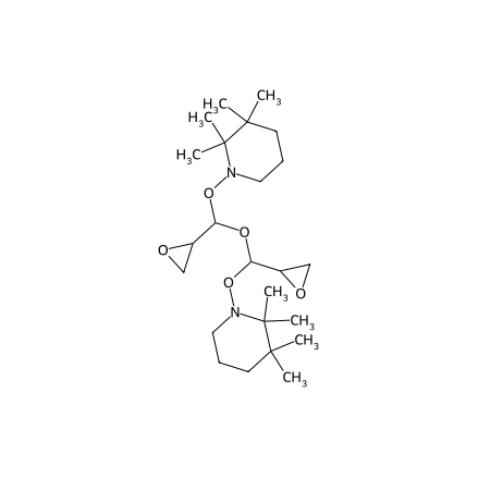 CC1(C)CCCN(OC(OC(ON2CCCC(C)(C)C2(C)C)C2CO2)C2CO2)C1(C)C